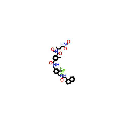 Cc1cc(C(=O)NCc2ccc(CNC(=O)Cc3cccc4ccccc34)c(C(F)(F)F)c2)ccc1C(=O)N(C=O)C(C)CCC(=O)NC=O